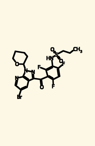 CCCS(=O)(=O)Nc1c(F)cc(F)c(C(=O)c2nn(C3CCCCO3)c3ncc(Br)cc23)c1F